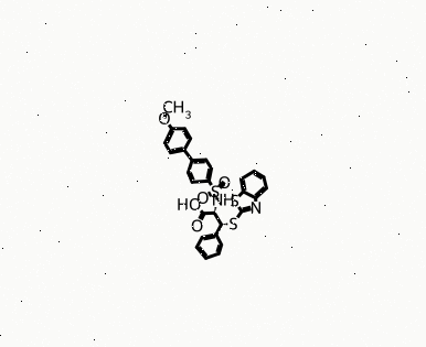 COc1ccc(-c2ccc(S(=O)(=O)N[C@@H](C(=O)O)[C@H](Sc3nc4ccccc4s3)c3ccccc3)cc2)cc1